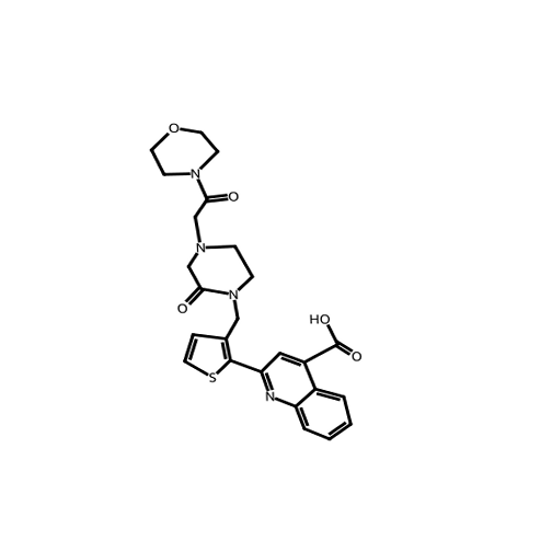 O=C(O)c1cc(-c2sccc2CN2CCN(CC(=O)N3CCOCC3)CC2=O)nc2ccccc12